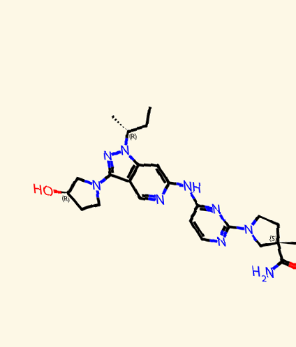 CC[C@@H](C)n1nc(N2CC[C@@H](O)C2)c2cnc(Nc3ccnc(N4CC[C@](C)(C(N)=O)C4)n3)cc21